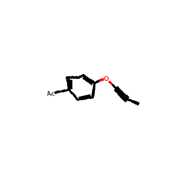 CC#COc1ccc(C(C)=O)cc1